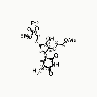 CCOP(=O)(CC[C@H]1O[C@H](n2cc(C)c(=O)[nH]c2=O)[C@H](OCCOC)[C@@H]1O)OCC